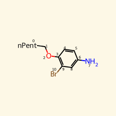 CCCCCCOc1ccc(N)cc1Br